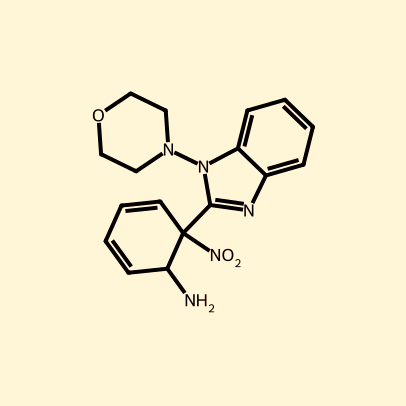 NC1C=CC=CC1(c1nc2ccccc2n1N1CCOCC1)[N+](=O)[O-]